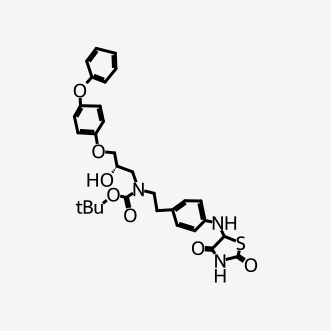 CC(C)(C)OC(=O)N(CCc1ccc(NC2SC(=O)NC2=O)cc1)C[C@H](O)COc1ccc(Oc2ccccc2)cc1